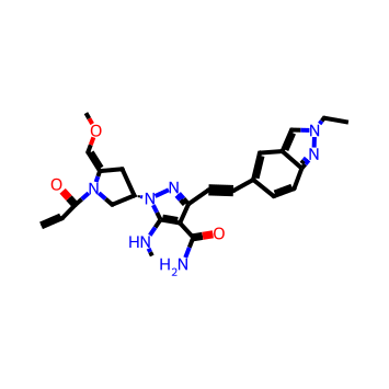 C=CC(=O)N1C[C@@H](n2nc(C#Cc3ccc4nn(CC)cc4c3)c(C(N)=O)c2NC)C/C1=C\OC